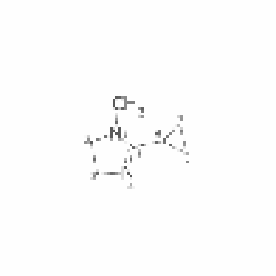 CN1CCN=C1C1CC1